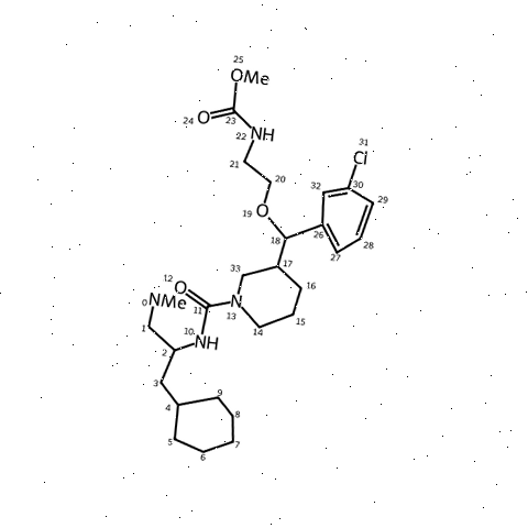 CNCC(CC1CCCCC1)NC(=O)N1CCCC(C(OCCNC(=O)OC)c2cccc(Cl)c2)C1